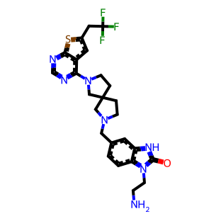 NCCn1c(=O)[nH]c2cc(CN3CCC4(CCN(c5ncnc6sc(CC(F)(F)F)cc56)C4)C3)ccc21